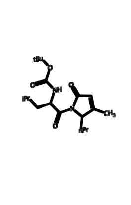 CCCC1C(C)=CC(=O)N1C(=O)[C@@H](CC(C)C)NC(=O)OC(C)(C)C